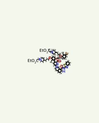 CCOC(=O)CN1CCC(CCCOc2cccc(-c3ccc(N4CCc5cccc(C(=O)Nc6nc7ccccc7s6)c5C4)nc3C(=O)OC(C)(C)C)c2C)CC1.CCOC(=O)CN1CCC(CCCOc2cccc(Br)c2C)CC1